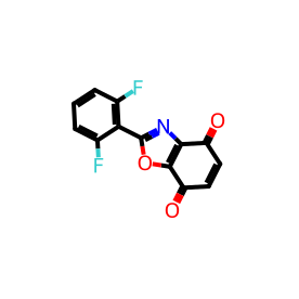 O=C1C=CC(=O)c2oc(-c3c(F)cccc3F)nc21